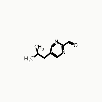 CC(C)Cc1cnc(C=O)nc1